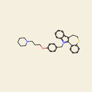 c1ccc2c(c1)SCCc1c-2n(Cc2ccc(OCCCN3CCCCC3)cc2)c2ccccc12